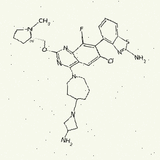 CN1CCC[C@H]1COc1nc(N2CCCC(N3CC(N)C3)CC2)c2cc(Cl)c(-c3cccc4sc(N)nc34)c(F)c2n1